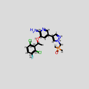 CC(Oc1cc(-c2cnn(CP(C)(C)=O)c2)cnc1N)c1c(Cl)ccc(F)c1Cl